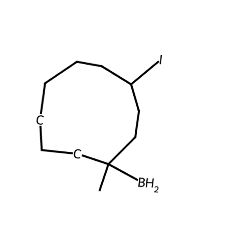 BC1(C)CCCCCCC(I)CC1